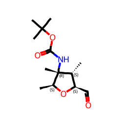 C[C@@H]1O[C@H](C=O)[C@@H](C)[C@@]1(C)NC(=O)OC(C)(C)C